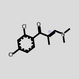 C/C(=C\N(C)C)C(=O)c1ccc(Cl)cc1Cl